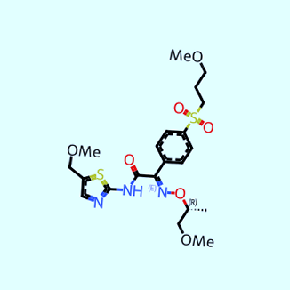 COCCCS(=O)(=O)c1ccc(/C(=N\O[C@H](C)COC)C(=O)Nc2ncc(COC)s2)cc1